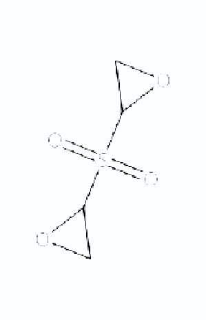 O=S(=O)(C1CO1)C1CO1